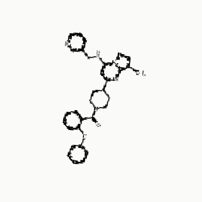 Bc1cnn2c(NCc3cccnc3)cc(C3CCN(C(=O)c4ccccc4Oc4ccccc4)CC3)nc12